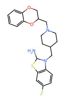 NC1Sc2cc(F)ccc2N1CC1CCN(CC2COc3ccccc3O2)CC1